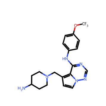 NC1CCN(Cc2ccn3ncnc(Nc4ccc(OC(F)(F)F)cc4)c23)CC1